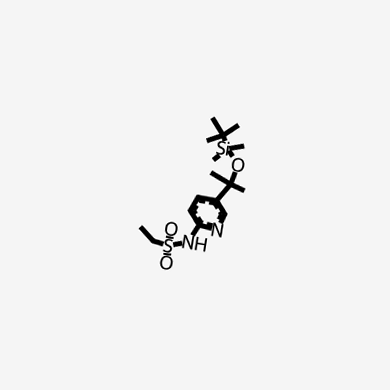 CCS(=O)(=O)Nc1ccc(C(C)(C)O[Si](C)(C)C(C)(C)C)cn1